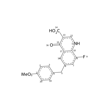 COc1ccc(Cc2cc(F)c3[nH]cc(C(=O)O)c(=O)c3c2)cc1